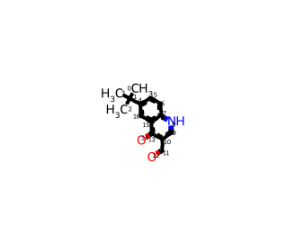 CC(C)(C)c1ccc2[nH]cc(C=O)c(=O)c2c1